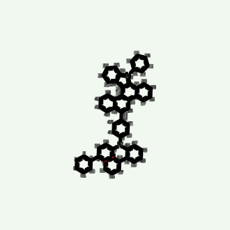 c1ccc(-c2ccc(N(c3ccc(-c4cc5c6ccccc6c6c(c7ccccc7n6-c6ccccc6)c5c5ccccc45)cc3)c3ccccc3-c3ccccc3)cc2)cc1